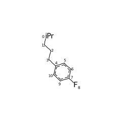 CC(C)[CH]CCc1ccc(F)cc1